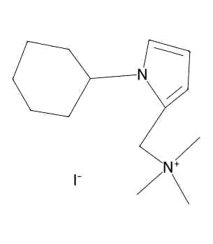 C[N+](C)(C)Cc1cccn1C1CCCCC1.[I-]